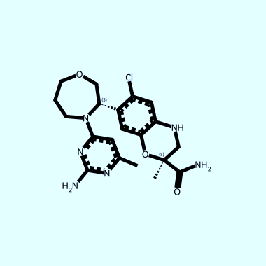 Cc1cc(N2CCCOC[C@@H]2c2cc3c(cc2Cl)NC[C@@](C)(C(N)=O)O3)nc(N)n1